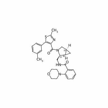 Cc1cccc(-c2sc(C)nc2C(=O)N2C[C@H]3C[C@H]3[C@H]2CNC(=O)c2ccccc2N2CCOCC2)c1